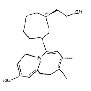 CCCCC1=CCN2C(=C1)CC(C)=C(C)C=C2C1CCCC[C@@H](CCO)C1